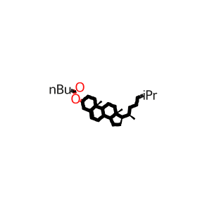 CCCCC(=O)OC1CC[C@@]2(C)C(=CCC3C2CC[C@@]2(C)C3CC[C@@H]2[C@H](C)CCCC(C)C)C1